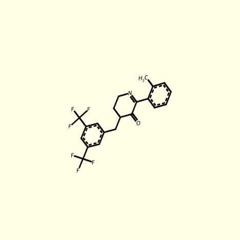 Cc1ccccc1C1=NCCC(Cc2cc(C(F)(F)F)cc(C(F)(F)F)c2)C1=O